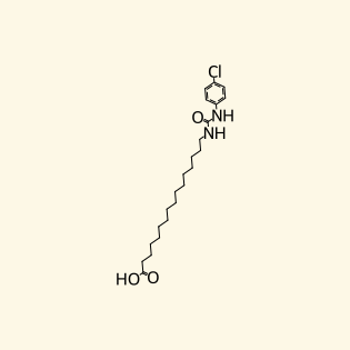 O=C(O)CCCCCCCCCCCCCCCNC(=O)Nc1ccc(Cl)cc1